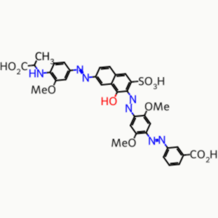 COc1cc(N=Nc2c(S(=O)(=O)O)cc3ccc(N=Nc4ccc(NC(C)C(=O)O)c(OC)c4)cc3c2O)c(OC)cc1N=Nc1cccc(C(=O)O)c1